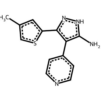 Cc1csc(-c2n[nH]c(N)c2-c2ccncc2)c1